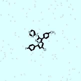 Cc1ccc(-c2c(C)nn3c(-c4ccc(F)cc4)cc(Cl)cc23)cc1.c1cncnc1